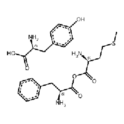 CSCC[C@H](N)C(=O)OC(=O)[C@@H](N)Cc1ccccc1.N[C@@H](Cc1ccc(O)cc1)C(=O)O